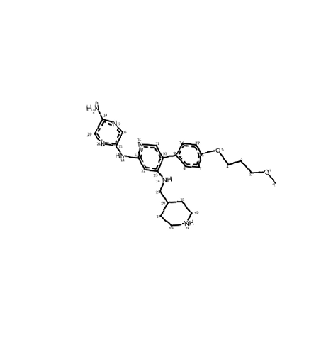 COCCCOc1ccc(-c2cnc(Nc3cnc(N)cn3)cc2NCC2CCNCC2)cc1